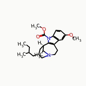 CCC(C)C[C@H]1C[C@H]2c3c(c4cc(OC)ccc4n3C(=O)OC)CC[N@@](C1)C2C